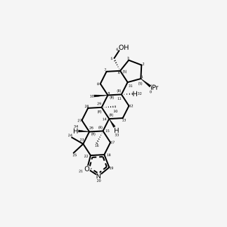 CC(C)[C@@H]1CC[C@]2(CO)CC[C@]3(C)[C@H](CC[C@@H]4[C@@]5(C)Cc6cnoc6C(C)(C)[C@@H]5CC[C@]43C)C12